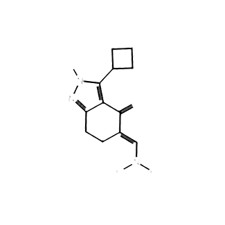 CN(C)/C=C1\CCc2nn(C)c(C3CCC3)c2C1=O